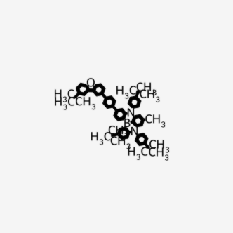 Cc1cc2c3c(c1)N(c1ccc(C(C)(C)C)cc1)c1cc(-c4ccc(-c5ccc6oc7ccc(C(C)(C)C)cc7c6c5)cc4)ccc1B3c1cc(C(C)(C)C)ccc1N2c1ccc(C(C)(C)C)cc1